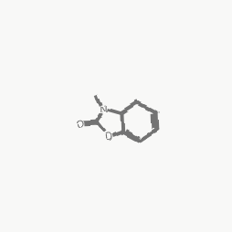 CN1C(=O)OC2=CC=[C]CC21